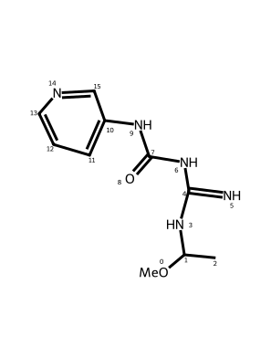 COC(C)NC(=N)NC(=O)Nc1cccnc1